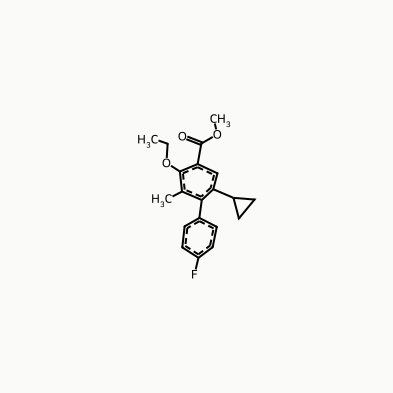 CCOc1c(C(=O)OC)cc(C2CC2)c(-c2ccc(F)cc2)c1C